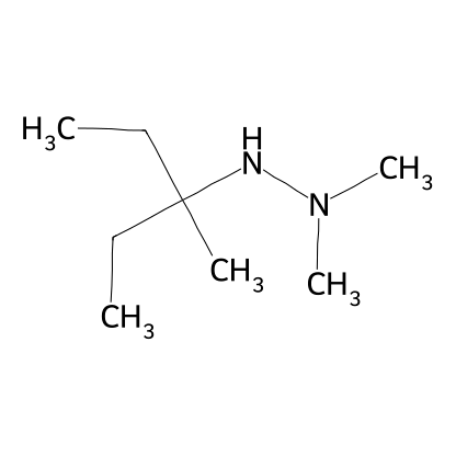 CCC(C)(CC)NN(C)C